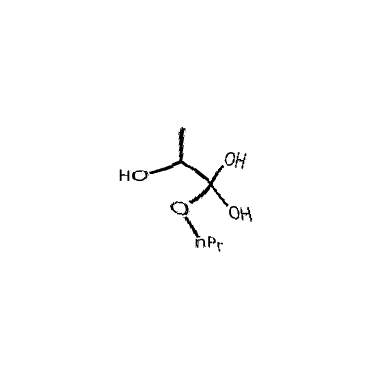 CCCOC(O)(O)C(C)O